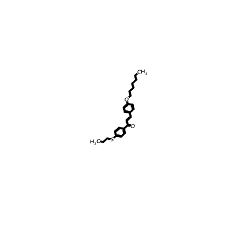 CCCCCCCOc1ccc(/C=C/C(=O)c2ccc(SCCC)cc2)cc1